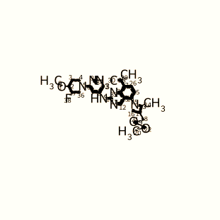 CO[C@H]1CCN(c2cc(Nc3ncc4c(N5C[C@H](CS(C)(=O)=O)[C@H]5C)ccc(C(C)C)c4n3)cnn2)C[C@H]1F